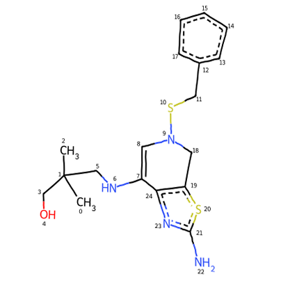 CC(C)(CO)CNC1=CN(SCc2ccccc2)Cc2sc(N)nc21